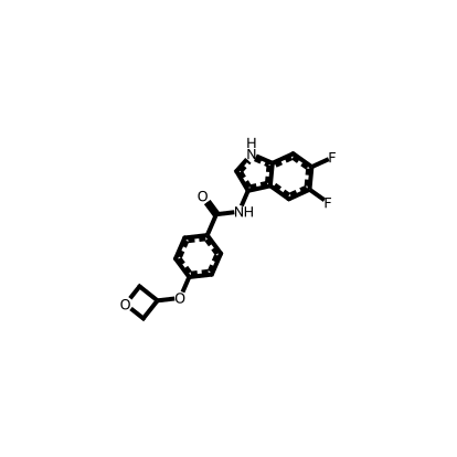 O=C(Nc1c[nH]c2cc(F)c(F)cc12)c1ccc(OC2COC2)cc1